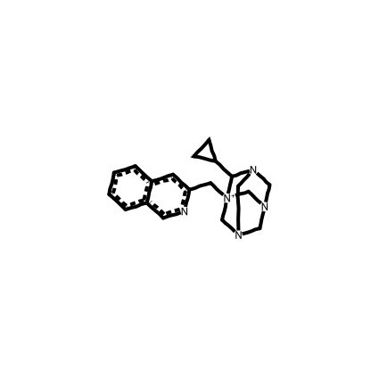 c1ccc2cc(C[N+]34CN5CN(CN(C5)C3C3CC3)C4)ncc2c1